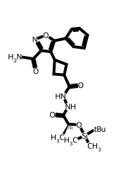 C[C@H](O[Si](C)(C)C(C)(C)C)C(=O)NNC(=O)C1CC(c2c(C(N)=O)noc2-c2ccccc2)C1